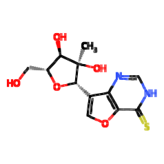 C[C@@]1(O)[C@H](O)[C@@H](CO)O[C@H]1c1coc2c(=S)[nH]cnc12